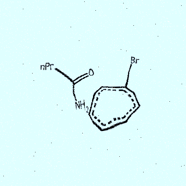 Brc1ccccc1.CCCC(N)=O